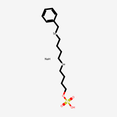 O=S(=O)(O)OCCCC[Se]CCCC[Se]Cc1ccccc1.[NaH]